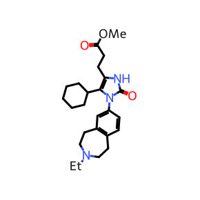 CCN1CCc2ccc(-n3c(C4CCCCC4)c(CCC(=O)OC)[nH]c3=O)cc2CC1